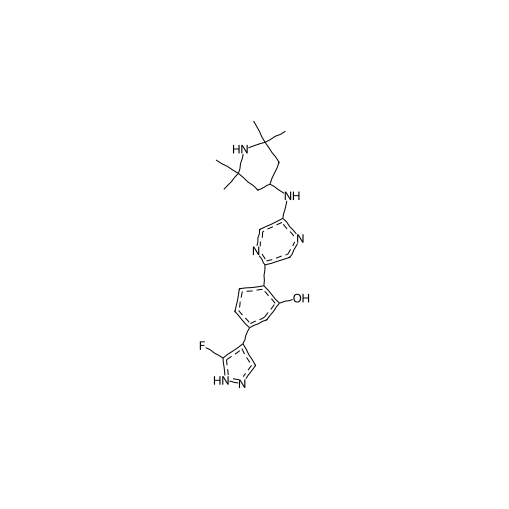 CC1(C)CC(Nc2cnc(-c3ccc(-c4cn[nH]c4F)cc3O)cn2)CC(C)(C)N1